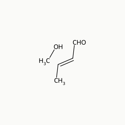 C/C=C/C=O.CO